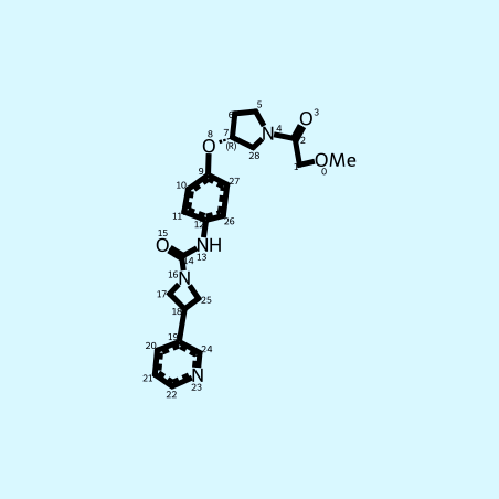 COCC(=O)N1CC[C@@H](Oc2ccc(NC(=O)N3CC(c4cccnc4)C3)cc2)C1